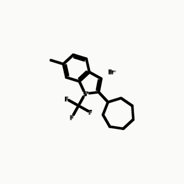 Cc1ccc2cc(C3CCCCCC3)[s+](C(F)(F)F)c2c1.[Br-]